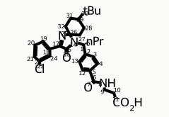 CCC[C@H](c1ccc(C(=O)NCCC(=O)O)cc1)N1C(=O)C(c2cccc(Cl)c2)=NC12CCC(C(C)(C)C)CC2